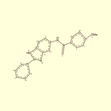 COc1ccc(C(=O)Nc2ccc3[nH]c(-c4ccccc4)nc3c2)cc1